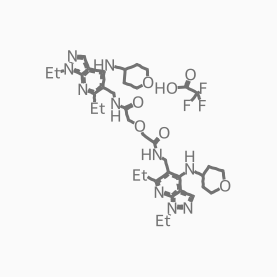 CCc1nc2c(cnn2CC)c(NC2CCOCC2)c1CNC(=O)COCC(=O)NCc1c(CC)nc2c(cnn2CC)c1NC1CCOCC1.O=C(O)C(F)(F)F